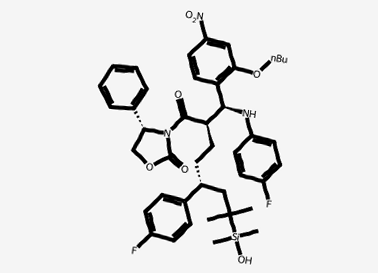 CCCCOc1cc([N+](=O)[O-])ccc1[C@@H](Nc1ccc(F)cc1)[C@@H](CC[C@H](CC(C)(C)[Si](C)(C)O)c1ccc(F)cc1)C(=O)N1C(=O)OC[C@@H]1c1ccccc1